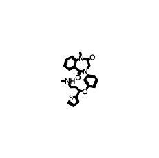 CNCCC(Oc1cccc(N2CC(=O)N(C)c3ccccc3C2=O)c1)c1cccs1